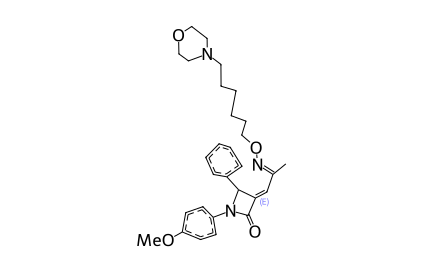 COc1ccc(N2C(=O)/C(=C/C(C)=NOCCCCCCN3CCOCC3)C2c2ccccc2)cc1